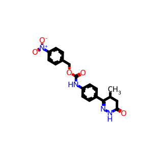 CC1CC(=O)NN=C1c1ccc(NC(=O)OCc2ccc([N+](=O)[O-])cc2)cc1